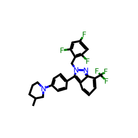 CC1CCCN(c2ccc(-c3c4cccc(C(F)(F)F)c4nn3Cc3c(F)cc(F)cc3F)cc2)C1